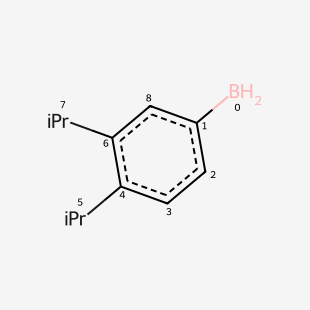 Bc1ccc(C(C)C)c(C(C)C)c1